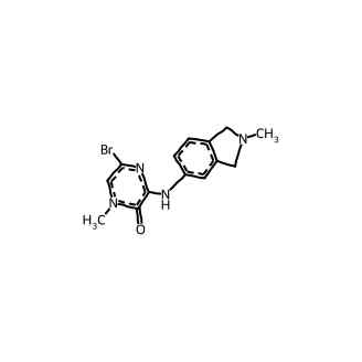 CN1Cc2ccc(Nc3nc(Br)cn(C)c3=O)cc2C1